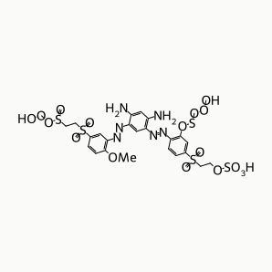 COc1ccc(S(=O)(=O)CCS(=O)OOO)cc1/N=N/c1cc(/N=N/c2ccc(S(=O)(=O)CCOS(=O)(=O)O)cc2OSOOO)c(N)cc1N